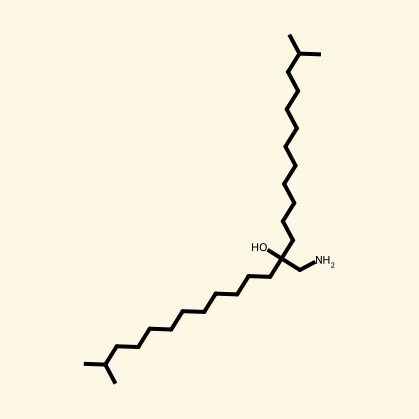 CC(C)CCCCCCCCCCC(O)(CN)CCCCCCCCCCC(C)C